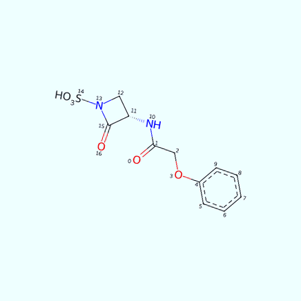 O=C(COc1ccccc1)N[C@H]1CN(S(=O)(=O)O)C1=O